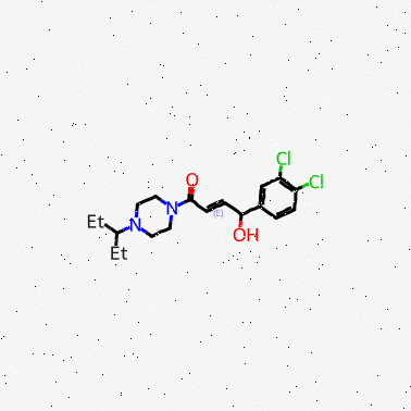 CCC(CC)N1CCN(C(=O)/C=C/C(O)c2ccc(Cl)c(Cl)c2)CC1